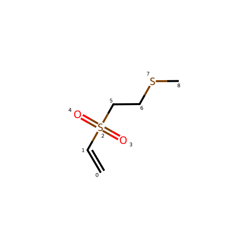 C=CS(=O)(=O)CCSC